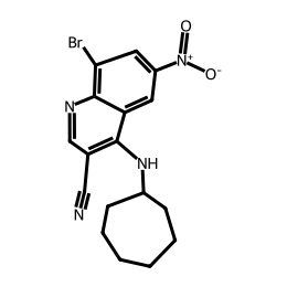 N#Cc1cnc2c(Br)cc([N+](=O)[O-])cc2c1NC1CCCCCC1